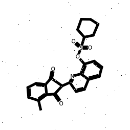 Cc1cccc2c1C(=O)C(c1ccc3cccc(OS(=O)(=O)C4CCCCC4)c3n1)C2=O